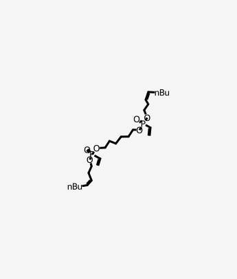 C=CP(=O)(OCC/C=C\CCCC)OCCCCCCOP(=O)(C=C)OCC/C=C\CCCC